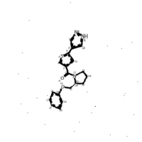 O=C(c1csc(-c2cn[nH]c2)c1)N1CCC[C@H]1COc1ccccc1